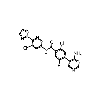 Nc1ncncc1-c1cc(Cl)c(C(=O)Nc2cnc(-n3nccn3)c(Cl)c2)cc1F